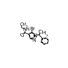 CCNC(=O)c1cnn(C(C)c2ccccc2)c1Br